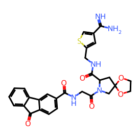 N=C(N)c1csc(CNC(=O)C2CC3(CN2C(=O)CNC(=O)c2ccc4c(c2)-c2ccccc2C4=O)OCCO3)c1